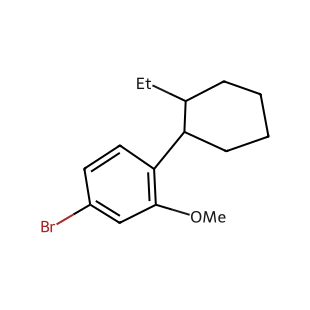 CCC1CCCCC1c1ccc(Br)cc1OC